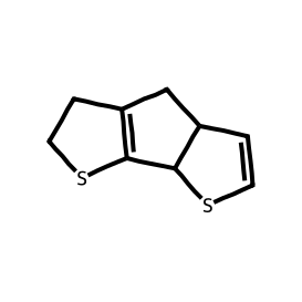 C1=CC2CC3=C(SCC3)C2S1